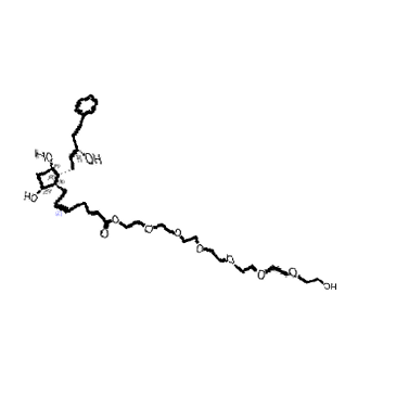 O=C(CCC/C=C\C[C@@H]1[C@@H](CC[C@@H](O)CCc2ccccc2)[C@H](O)C[C@@H]1O)OCCOCCOCCOCCOCCOCCOCCO